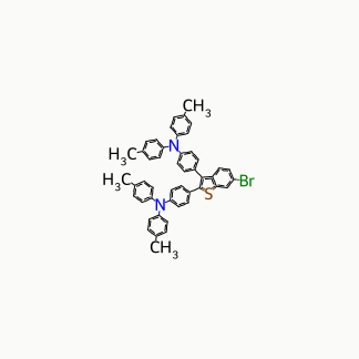 Cc1ccc(N(c2ccc(C)cc2)c2ccc(-c3sc4cc(Br)ccc4c3-c3ccc(N(c4ccc(C)cc4)c4ccc(C)cc4)cc3)cc2)cc1